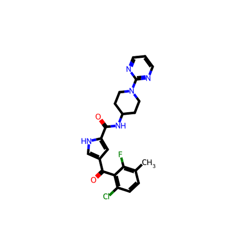 Cc1ccc(Cl)c(C(=O)c2c[nH]c(C(=O)NC3CCN(c4ncccn4)CC3)c2)c1F